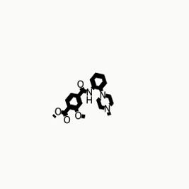 COC(=O)c1ccc(C(=O)Nc2ccccc2N2CCN(C)CC2)cc1OC